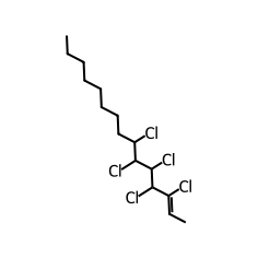 C/C=C(\Cl)C(Cl)C(Cl)C(Cl)C(Cl)CCCCCCCC